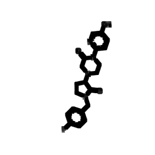 O=C1C(N2CCN(c3ccc(O)cn3)C(=O)C2)CCN1Cc1ccc(F)cc1